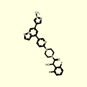 Cn1cc(-c2cc(-c3ccc(N4CCN(C(=O)C(O)c5c(F)cccc5F)CC4)nc3)c3ccnn3c2)cn1